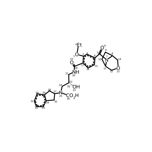 CCOc1cc(C(=O)N2C3CCC2COC3)ccc1C(=O)NC[C@H](O)CN(C(=O)O)C1Cc2ccccc2C1